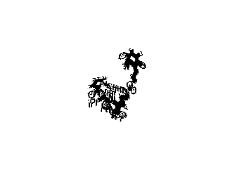 CC1=C(C)C(=O)C(CCCOC(=O)NCCCC(NC(=O)C(NC(=O)C2CCCN2C=O)C(C)C)C(=O)NC(C)C)=C(C)C1=O